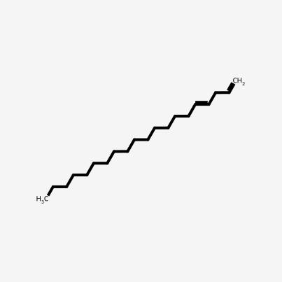 C=CC/C=C/CCCCCCCCCCCCCCC